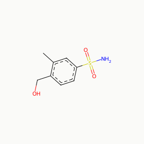 Cc1cc(S(N)(=O)=O)ccc1CO